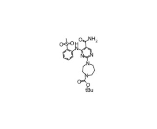 CC(C)(C)OC(=O)N1CCCN(c2ncc(C(N)=O)c(Nc3ccccc3S(C)(=O)=O)n2)CC1